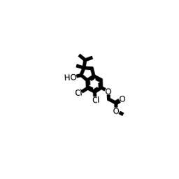 COC(=O)COc1cc2c(c(Cl)c1Cl)C(O)C(C)(C(C)C)C2